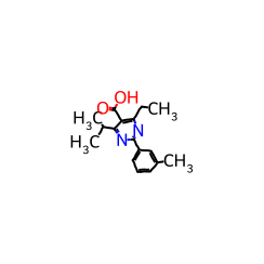 CCc1nc(-c2cccc(C)c2)nc(C(C)C)c1C(=O)O